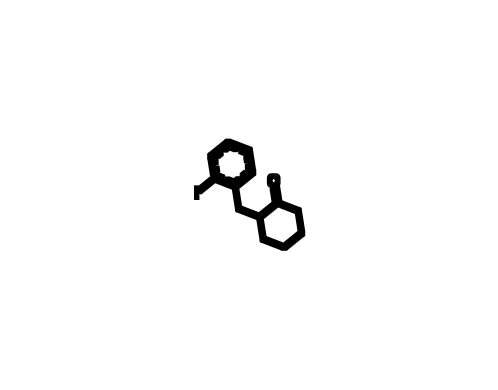 O=C1CCCCC1Cc1ccccc1I